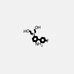 Nc1ccc(N(CCO)CCO)cc1-c1ccc(F)cc1